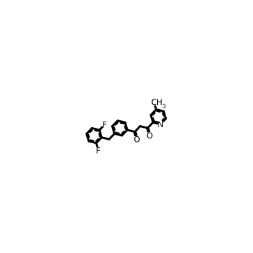 Cc1ccnc(C(=O)CC(=O)c2cccc(Cc3c(F)cccc3F)c2)c1